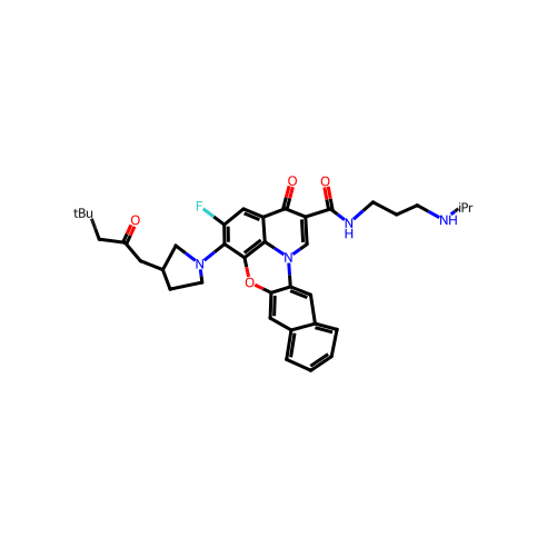 CC(C)NCCCNC(=O)c1cn2c3c(c(N4CCC(CC(=O)CC(C)(C)C)C4)c(F)cc3c1=O)Oc1cc3ccccc3cc1-2